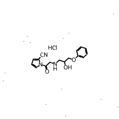 Cl.N#Cc1cccn1C(=O)CNCC(O)COc1ccccc1